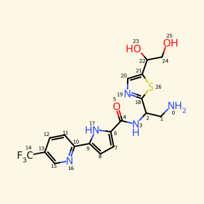 NCC(NC(=O)c1ccc(-c2ccc(C(F)(F)F)cn2)[nH]1)c1ncc(C(O)CO)s1